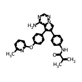 C=C(C)C(=O)Nc1ccc(-c2cn3ncnc(N)c3c2-c2ccc(Oc3cccc(C)n3)cc2)cc1